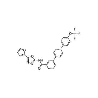 O=C(Nc1nnc(-c2ccco2)o1)c1cccc(-c2ccc(-c3ccc(OC(F)(F)F)cc3)cc2)c1